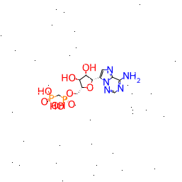 Nc1ncnn2c([C@@H]3O[C@H](COP(=O)(O)CP(=O)(O)O)[C@@H](O)[C@H]3O)cnc12